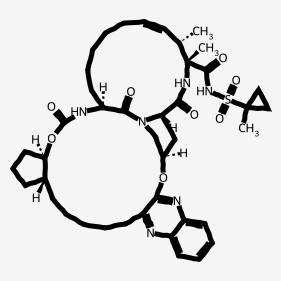 C[C@H]1/C=C\CCCCC[C@@H]2NC(=O)O[C@@H]3CCC[C@H]3CCCCCc3nc4ccccc4nc3O[C@@H]3C[C@@H](C(=O)N[C@@]1(C)C(=O)NS(=O)(=O)C1(C)CC1)N(C3)C2=O